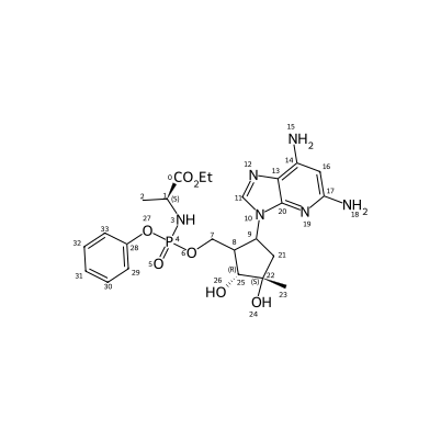 CCOC(=O)[C@H](C)NP(=O)(OCC1C(n2cnc3c(N)cc(N)nc32)C[C@](C)(O)[C@@H]1O)Oc1ccccc1